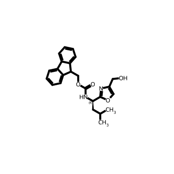 CC(C)C[C@@H](NC(=O)OCC1c2ccccc2-c2ccccc21)c1nc(CO)co1